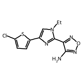 CCn1cc(-c2ccc(Cl)s2)nc1-c1nonc1N